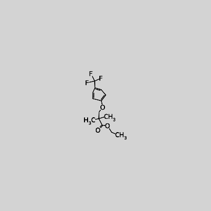 CCOC(=O)C(C)(C)COc1ccc(C(F)(F)F)cc1